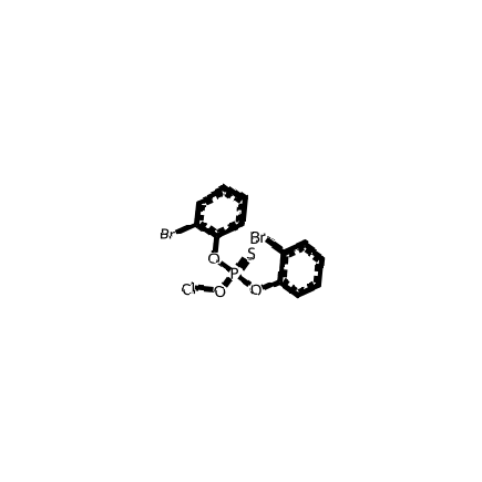 S=P(OCl)(Oc1ccccc1Br)Oc1ccccc1Br